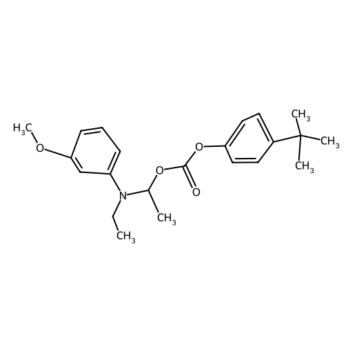 CCN(c1cccc(OC)c1)C(C)OC(=O)Oc1ccc(C(C)(C)C)cc1